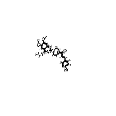 COc1cc2nc(N3CCN(C(=O)C=Cc4ccc(Br)cc4)CC3)nc(N)c2cc1OC